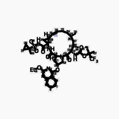 CCOc1cc2ccccc2c(O[C@@H]2C[C@H]3C(=O)N[C@]4(C(=O)NS(=O)(=O)C5(C)CC5)C[C@H]4/C=C\CC[C@@H](C)C[C@@H](C)[C@H](NC(=O)OC(C)(C)C(F)(F)F)C(=O)N3C2)n1